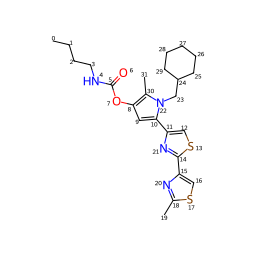 CCCCNC(=O)Oc1cc(-c2csc(-c3csc(C)n3)n2)n(CC2CCCCC2)c1C